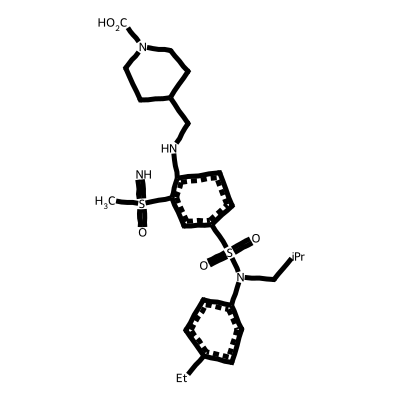 CCc1ccc(N(CC(C)C)S(=O)(=O)c2ccc(NCC3CCN(C(=O)O)CC3)c(S(C)(=N)=O)c2)cc1